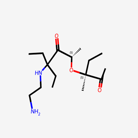 CCC(CC)(NCCN)C(=O)[C@H](C)O[C@@](C)(CC)C(C)=O